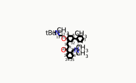 Cc1ccccc1-c1ccc(OCCN(C)C(C)(C)C)c(C=CC(=O)c2ccccc2CN(C)C)c1